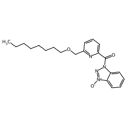 CCCCCCCCOCc1cccc(C(=O)n2n[n+]([O-])c3ccccc32)n1